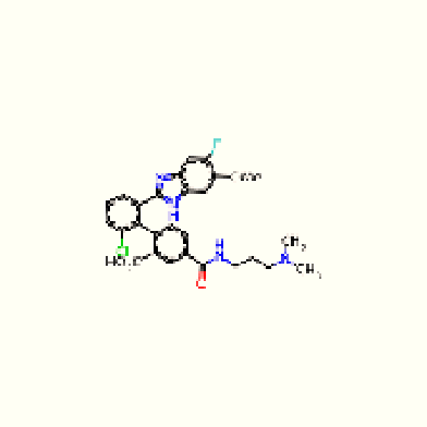 COc1cc2[nH]c(-c3cccc(Cl)c3-c3ccc(C(=O)NCCCN(C)C)cc3C(=O)O)nc2cc1F